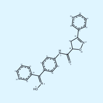 O=C(Nc1ccc(C(=NO)c2cccnc2)cc1)C1CC(c2cccnc2)=NO1